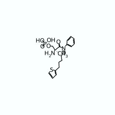 C[C@](N)(COP(=O)(O)O)C(=O)N(OCCCCc1cccs1)c1ccccc1